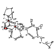 CC(C)(C)OC(=O)N1CC2CCC(C1)N2c1ccc2ncnc(Nc3ccc(OCC4CC4)c(Cl)c3F)c2n1